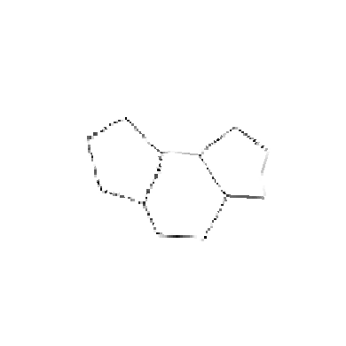 C1CC2CCC3CCCC3C2C1